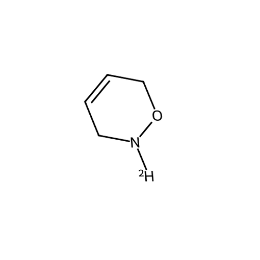 [2H]N1CC=CCO1